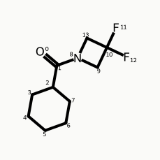 O=C(C1CCCCC1)N1CC(F)(F)C1